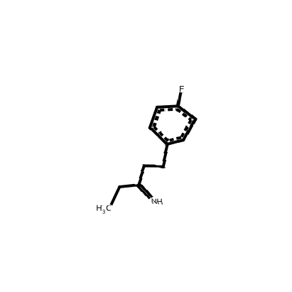 CCC(=N)CCc1ccc(F)cc1